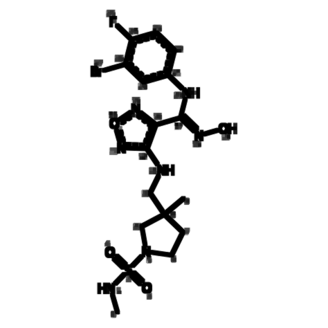 CNS(=O)(=O)N1CCC(C)(CNc2nonc2/C(=N/O)Nc2ccc(F)c(Br)c2)C1